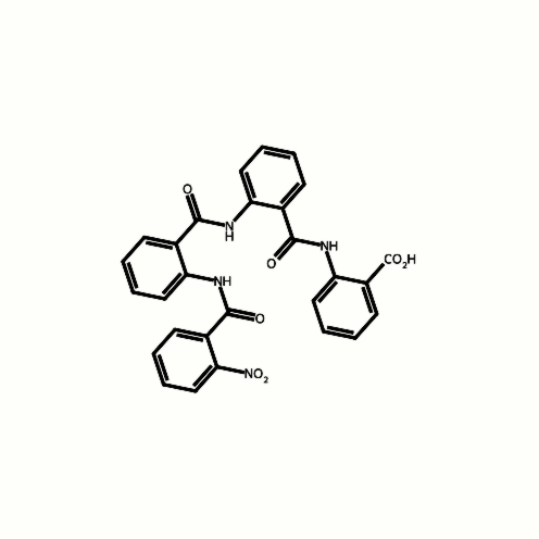 O=C(O)c1ccccc1NC(=O)c1ccccc1NC(=O)c1ccccc1NC(=O)c1ccccc1[N+](=O)[O-]